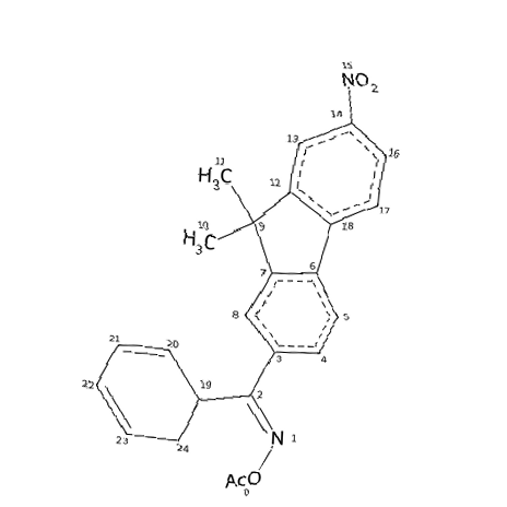 CC(=O)O/N=C(/c1ccc2c(c1)C(C)(C)c1cc([N+](=O)[O-])ccc1-2)C1C=CC=CC1